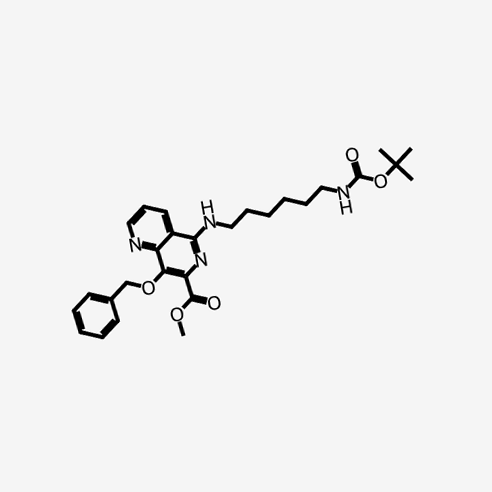 COC(=O)c1nc(NCCCCCCNC(=O)OC(C)(C)C)c2cccnc2c1OCc1ccccc1